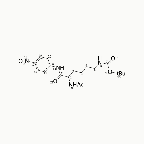 CC(=O)NC(CCCCNC(=O)OC(C)(C)C)C(=O)Nc1ccc([N+](=O)[O-])cc1